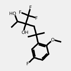 COc1ccc(F)cc1C(C)(C)CC(O)(C(C)O)C(F)(F)F